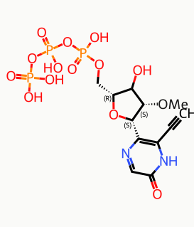 C#Cc1[nH]c(=O)cnc1[C@@H]1O[C@H](COP(=O)(O)OP(=O)(O)OP(=O)(O)O)C(O)[C@@H]1OC